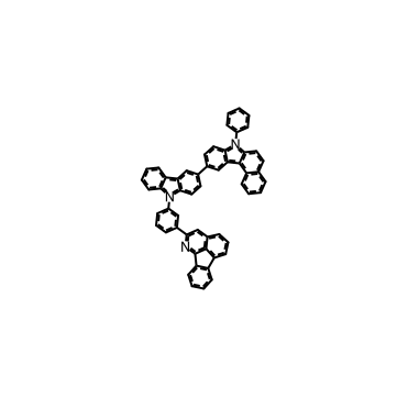 c1ccc(-n2c3ccc(-c4ccc5c(c4)c4ccccc4n5-c4cccc(-c5cc6cccc7c6c(n5)-c5ccccc5-7)c4)cc3c3c4ccccc4ccc32)cc1